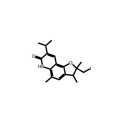 Cc1cc2c(c3cc(C(C)C)c(=O)[nH]c13)OC(C)(CI)C2C